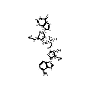 Nc1nccc2c1ncn2[C@@H]1O[C@H](COP(=O)(O)O[C@@H]2[C@H](O)[C@@H](CO)O[C@H]2n2cnc3c(=O)[nH]cnc32)[C@@H](O)[C@H]1O